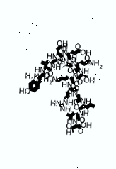 CC[C@H](C)[C@H](NC(=O)CNC(=O)[C@H](CCCNC(=N)N)NC(=O)[C@H](CCCCN)NC(=O)[C@H](CO)NC(=O)[C@H](CCC(N)=O)NC(=O)[C@H](C)NC(=O)[C@H](CCC(=O)O)NC(=O)[C@H](CC(=O)O)NC(=O)CNC(=O)[C@@H](NC(=O)[C@@H](N)Cc1ccc(O)cc1)C(C)C)C(=O)N[C@@H](CC(C)C)C(=O)N[C@H](C(=O)O)[C@@H](C)O